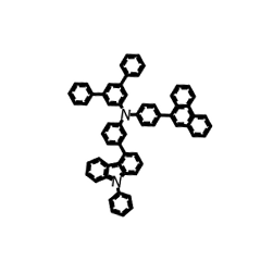 c1ccc(-c2cc(-c3ccccc3)cc(N(c3ccc(-c4cc5ccccc5c5ccccc45)cc3)c3cccc(-c4cccc5c4c4ccccc4n5-c4ccccc4)c3)c2)cc1